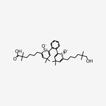 CC1(C)C=C(CCCCC(C)(C)CO)[S+]([O-])C(c2ccccc2C2=CC(C)(C)C=C(CCCCC(C)(C)C(=O)O)[S+]2[O-])=C1